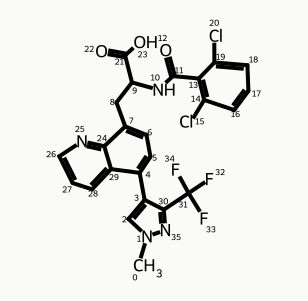 Cn1cc(-c2ccc(CC(NC(=O)c3c(Cl)cccc3Cl)C(=O)O)c3ncccc23)c(C(F)(F)F)n1